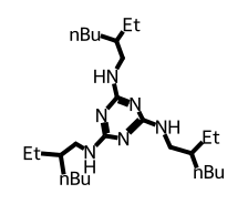 CCCCC(CC)CNc1nc(NCC(CC)CCCC)nc(NCC(CC)CCCC)n1